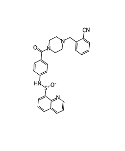 N#Cc1ccccc1CN1CCN(C(=O)c2ccc(N[S+]([O-])c3cccc4cccnc34)cc2)CC1